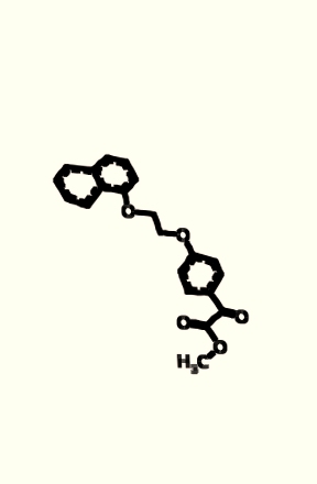 COC(=O)C(=O)c1ccc(OCCOc2cccc3ccccc23)cc1